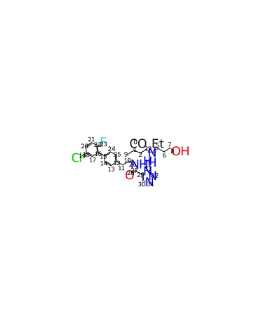 CCOC(=O)[C@H](CCNCCCO)C[C@@H](Cc1ccc(-c2cc(Cl)ccc2F)cc1)NC(=O)c1cnn[nH]1